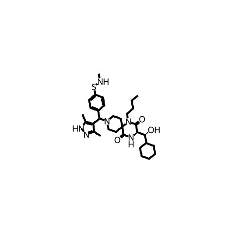 CCCCN1C(=O)[C@@H]([C@H](O)C2CCCCC2)NC(=O)C12CCN(C(c1ccc(SNC)cc1)c1c(C)n[nH]c1C)CC2